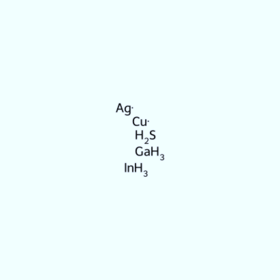 S.[Ag].[Cu].[GaH3].[InH3]